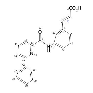 O=C(O)/C=C/c1cccc(NC(=O)c2cccc(-c3ccccc3)n2)c1